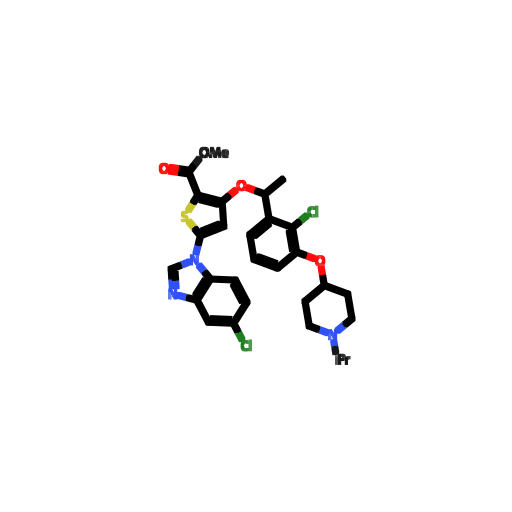 COC(=O)c1sc(-n2cnc3cc(Cl)ccc32)cc1OC(C)c1cccc(OC2CCN(C(C)C)CC2)c1Cl